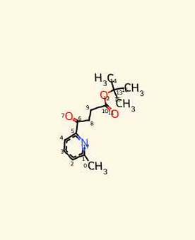 Cc1cccc(C(=O)CCC(=O)OC(C)(C)C)n1